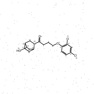 O=C(CCCOc1ccc(Cl)cc1Cl)N1CC2CCC1CC2O